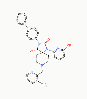 Cc1cccnc1CN1CCC2(CC1)C(=O)N(c1ccc(-c3ccccc3)cc1)C(=O)N2c1cccc(O)n1